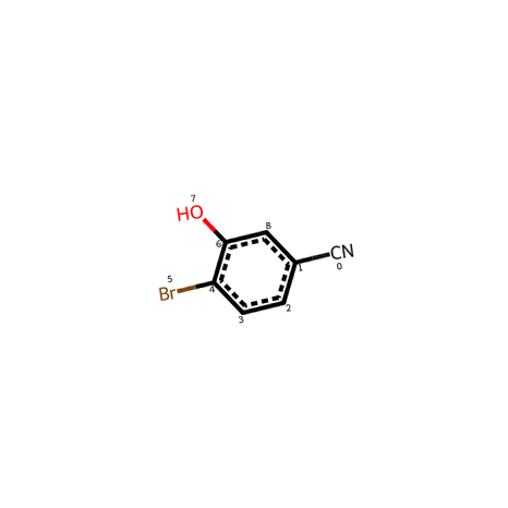 N#Cc1ccc(Br)c(O)c1